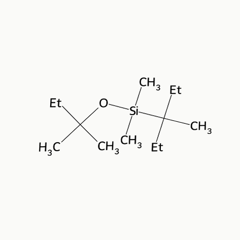 CCC(C)(C)O[Si](C)(C)C(C)(CC)CC